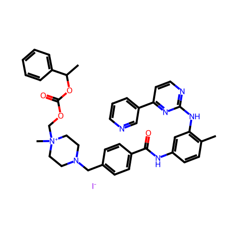 Cc1ccc(NC(=O)c2ccc(CN3CC[N+](C)(COC(=O)OC(C)c4ccccc4)CC3)cc2)cc1Nc1nccc(-c2cccnc2)n1.[I-]